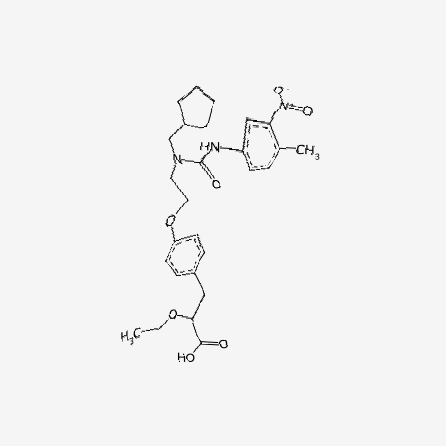 CCOC(Cc1ccc(OCCN(CC2CCCC2)C(=O)Nc2ccc(C)c([N+](=O)[O-])c2)cc1)C(=O)O